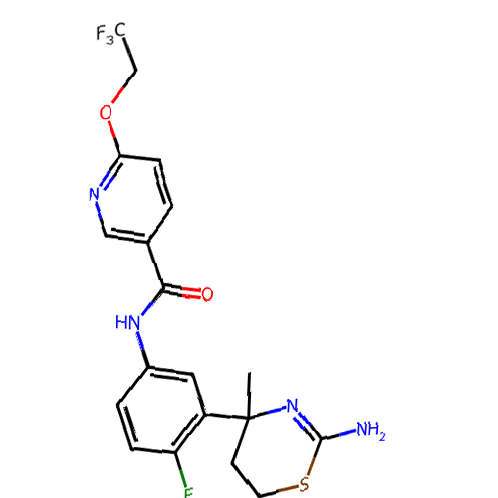 CC1(c2cc(NC(=O)c3ccc(OCC(F)(F)F)nc3)ccc2F)CCSC(N)=N1